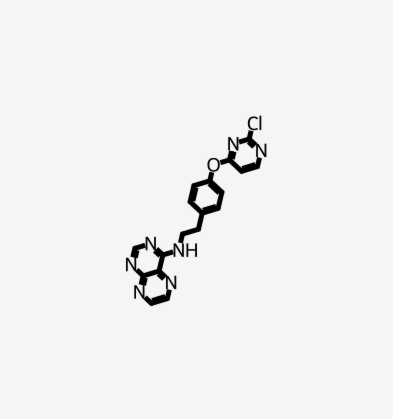 Clc1nccc(Oc2ccc(CCNc3ncnc4nccnc34)cc2)n1